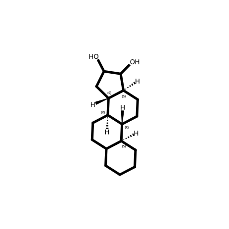 OC1C[C@H]2[C@@H]3CCC4CCCC[C@@H]4[C@H]3CC[C@@H]2C1O